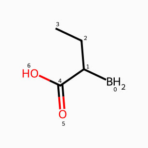 BC(CC)C(=O)O